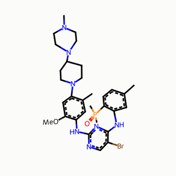 COc1cc(N2CCC(N3CCN(C)CC3)CC2)c(C)cc1Nc1ncc(Br)c(Nc2cc(C)ccc2P(C)(C)=O)n1